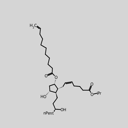 C=CCCCCCCCCC(=O)O[C@H]1C[C@@H](O)[C@H](CC[C@@H](O)CCCCC)[C@H]1C/C=C\CCCC(=O)OC(C)C